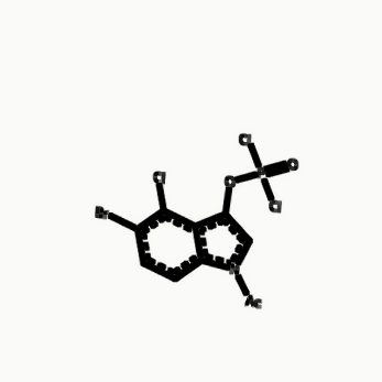 CC(=O)n1cc(OP(=O)(Cl)Cl)c2c(Cl)c(Br)ccc21